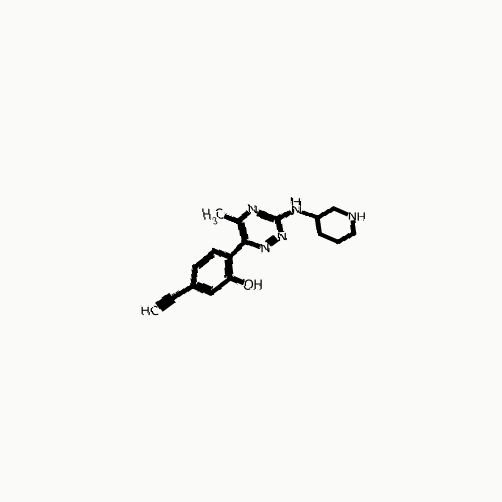 C#Cc1ccc(-c2nnc(NC3CCCNC3)nc2C)c(O)c1